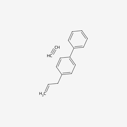 C#C.C=CCc1ccc(-c2ccccc2)cc1